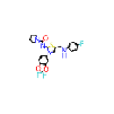 O=C(/N=c1\sc(CNc2ccc(F)cc2)cn1-c1ccc2c(c1)OC(F)(F)O2)N1CCCC1